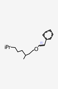 CC(C)CCCC(C)CCO/C=C/c1ccccc1